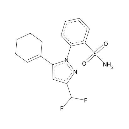 NS(=O)(=O)c1ccccc1-n1nc(C(F)F)cc1C1=CCCCC1